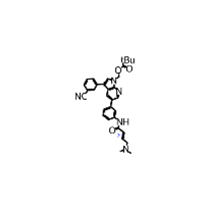 CN(C)C/C=C/C(=O)Nc1cccc(-c2cnc3c(c2)c(-c2cccc(C#N)c2)cn3COC(=O)C(C)(C)C)c1